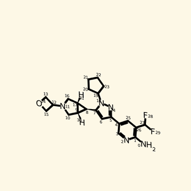 Nc1ncc(-c2cc([C@H]3[C@@H]4CN(C5COC5)C[C@@H]43)n(C3CCCC3)n2)cc1C(F)F